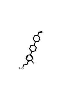 C=CC1CCC(C2CCC(c3ccc(CCO)c(F)c3)CC2)CC1